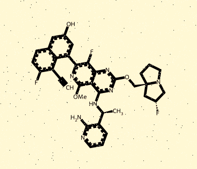 C#Cc1c(F)ccc2cc(O)cc(-c3nc(OC)c4c(N[C@@H](C)c5cccnc5N)nc(OC[C@@]56CCCN5C[C@H](F)C6)nc4c3F)c12